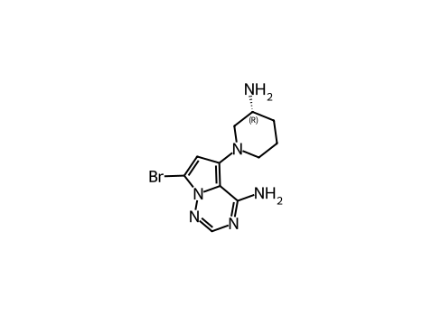 Nc1ncnn2c(Br)cc(N3CCC[C@@H](N)C3)c12